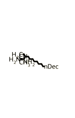 C=CC(CCCCCCCCCCCCCCCCCC)C(N)C(C)(C)N